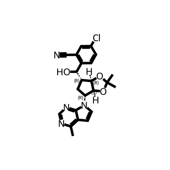 Cc1ncnc2c1ccn2[C@@H]1C[C@H](C(O)c2ccc(Cl)cc2C#N)[C@H]2OC(C)(C)O[C@H]21